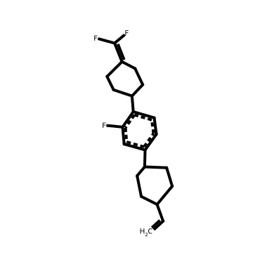 C=CC1CCC(c2ccc(C3CCC(=C(F)F)CC3)c(F)c2)CC1